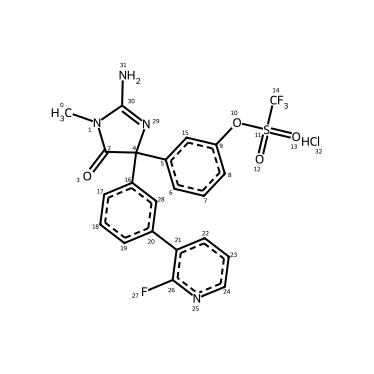 CN1C(=O)C(c2cccc(OS(=O)(=O)C(F)(F)F)c2)(c2cccc(-c3cccnc3F)c2)N=C1N.Cl